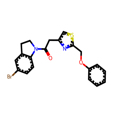 O=C(Cc1csc(COc2ccccc2)n1)N1CCc2cc(Br)ccc21